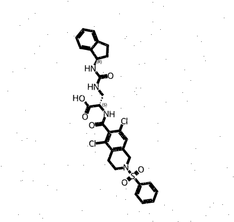 O=C(NC[C@H](NC(=O)c1c(Cl)cc2c(c1Cl)CCN(S(=O)(=O)c1ccccc1)C2)C(=O)O)N[C@@H]1CCc2ccccc21